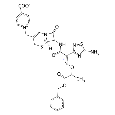 CC(O/N=C(/C(=O)NC1C(=O)N2C=C(C[n+]3ccc(C(=O)[O-])cc3)CS[C@H]12)c1nsc(N)n1)C(=O)OCc1ccccc1